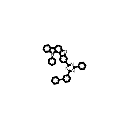 c1ccc(-c2cccc(-c3nc(-c4ccccc4)nc(-c4ccc5c(c4)oc4ccc6c7ccccc7n(-c7ccccc7)c6c45)n3)c2)cc1